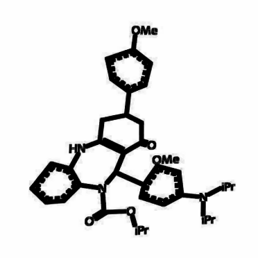 COc1ccc(C2CC(=O)C3=C(C2)Nc2ccccc2N(C(=O)OC(C)C)C3c2ccc(N(C(C)C)C(C)C)cc2OC)cc1